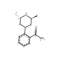 C[C@H]1CN(c2ccccc2C(N)=O)C[C@H](C)O1